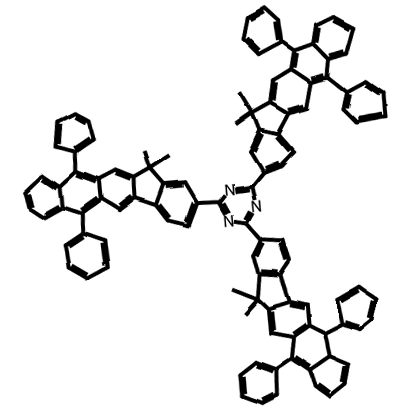 CC1(C)c2cc(-c3nc(-c4ccc5c(c4)C(C)(C)c4cc6c(-c7ccccc7)c7ccccc7c(-c7ccccc7)c6cc4-5)nc(-c4ccc5c(c4)C(C)(C)c4cc6c(-c7ccccc7)c7ccccc7c(-c7ccccc7)c6cc4-5)n3)ccc2-c2cc3c(cc21)C(c1ccccc1)=C1C=CC=CC1C3c1ccccc1